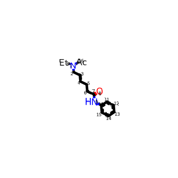 CCN(CCCCCC(=O)Nc1ccccc1)C(C)=O